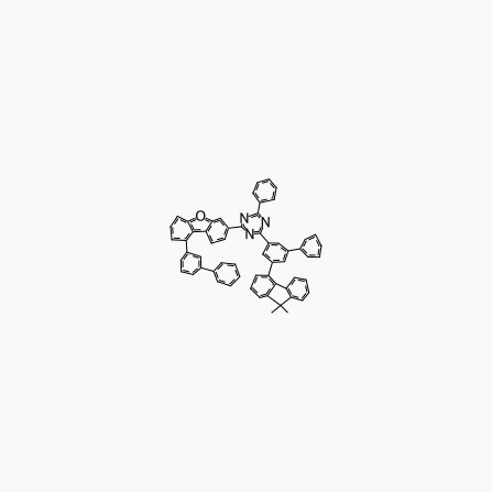 CC1(C)c2ccccc2-c2c(-c3cc(-c4ccccc4)cc(-c4nc(-c5ccccc5)nc(-c5ccc6c(c5)oc5cccc(-c7cccc(-c8ccccc8)c7)c56)n4)c3)cccc21